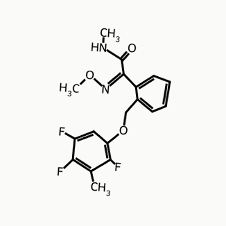 CNC(=O)C(=NOC)c1ccccc1COc1cc(F)c(F)c(C)c1F